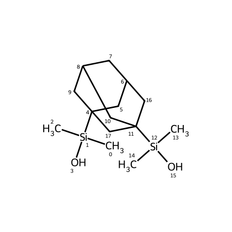 C[Si](C)(O)C12CC3CC(C1)CC([Si](C)(C)O)(C3)C2